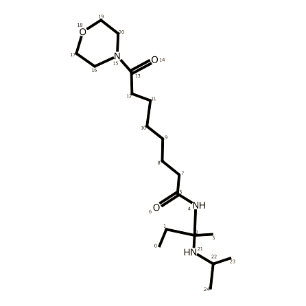 CCC(C)(NC(=O)CCCCCCC(=O)N1CCOCC1)NC(C)C